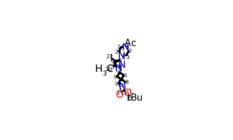 CC(=O)N1CCN(c2nn(C3CC4(C3)CN(C(=O)OC(C)(C)C)C4)c(C)c2I)CC1